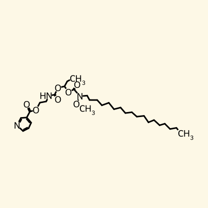 CCCCCCCCCCCCCCCCCCN(OC)C(=O)OC(CC)OC(=O)NCCOC(=O)c1cccnc1